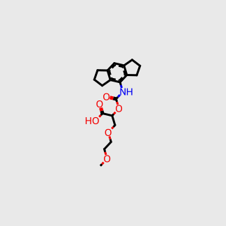 COCCOCC(OC(=O)Nc1c2c(cc3c1CCC3)CCC2)C(=O)O